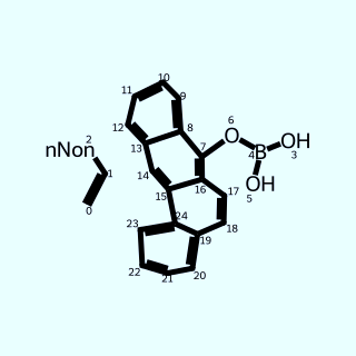 C=CCCCCCCCCC.OB(O)Oc1c2ccccc2cc2c1ccc1ccccc12